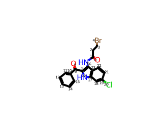 O=C(CCBr)Nc1c(C(=O)c2ccccc2)[nH]c2cc(Cl)ccc12